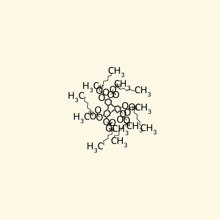 CCCCCC[C@H](C)OC(=O)Oc1cc2c3cc(OC(=O)O[C@@H](C)CCCCCC)c(OC(=O)O[C@@H](C)CCCCCC)cc3c3cc(OC(=O)O[C@@H](C)CCCCCC)c(OC(=O)O[C@@H](C)CCCCCC)cc3c2cc1OC(=O)O[C@@H](C)CCCCCC